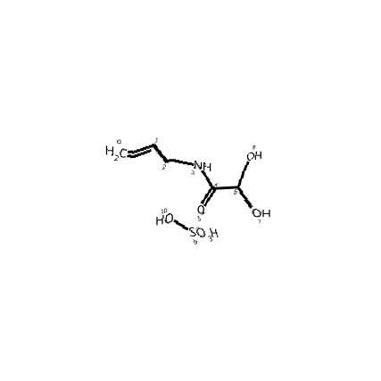 C=CCNC(=O)C(O)O.O=S(=O)(O)O